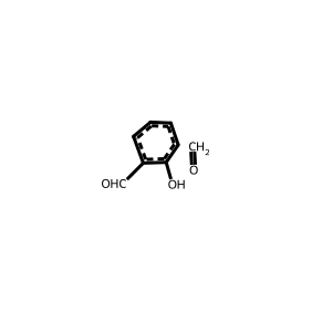 C=O.O=Cc1ccccc1O